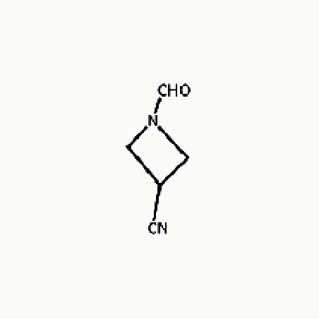 N#CC1CN(C=O)C1